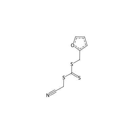 N#CCSC(=S)SCc1ccco1